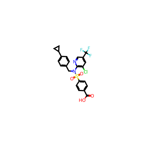 O=C(O)c1ccc(S(=O)(=O)N(Cc2ccc(C3CC3)cc2)c2ncc(C(F)(F)F)cc2Cl)cc1